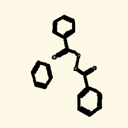 O=C(OOC(=O)c1ccccc1)c1ccccc1.c1ccccc1